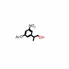 C[C](CO)c1cc(OC(C)=O)cc([N+](=O)[O-])c1